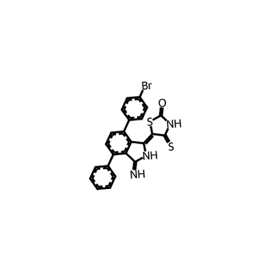 N=C1NC(=C2SC(=O)NC2=S)c2c(-c3ccc(Br)cc3)ccc(-c3ccccc3)c21